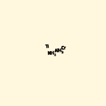 N.[AlH3].[Cr].[Ti]